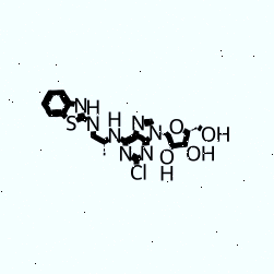 C[C@H](CNc1nc2ccccc2s1)Nc1nc(Cl)nc2c1ncn2[C@@H]1O[C@H](CO)[C@@H](O)[C@H]1O